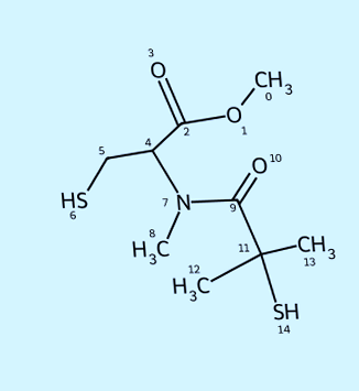 COC(=O)C(CS)N(C)C(=O)C(C)(C)S